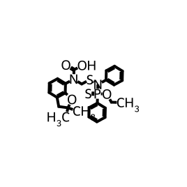 CCOP(=S)(c1ccccc1)N(SCN(C(=O)O)c1cccc2c1OC(C)(C)C2)c1ccccc1